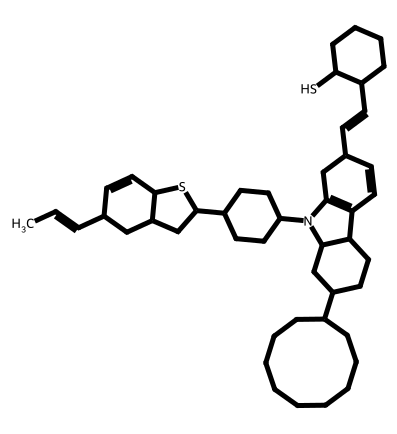 C/C=C/C1C=CC2SC(C3CCC(N4C5=C(C=CC(/C=C/C6CCCCC6S)C5)C5CCC(C6CCCCCCCCC6)CC54)CC3)CC2C1